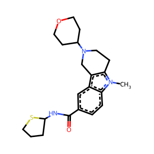 Cn1c2c(c3cc(C(=O)NC4CCCS4)ccc31)CN(C1CCOCC1)CC2